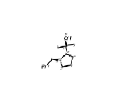 CC(C)CN1CCCC1C(C)(C)O